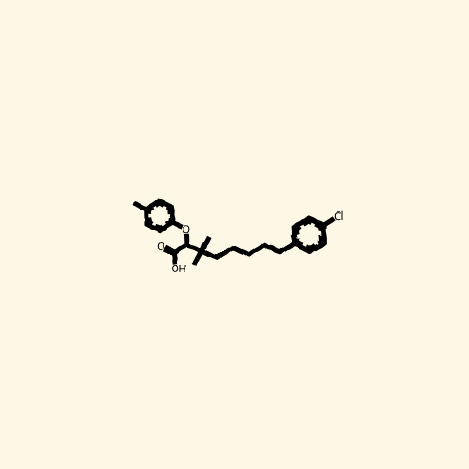 Cc1ccc(OC(C(=O)O)C(C)(C)CCCCCc2ccc(Cl)cc2)cc1